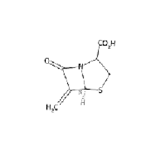 C=C1C(=O)N2C(C(=O)O)CS[C@@H]12